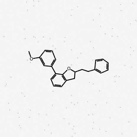 COc1cccc(-c2cccc3c2OC(CCc2ccccc2)C3)c1